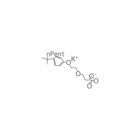 CCCCCC(C)(C)c1ccc(OCCOCCS(=O)(=O)[O-])cc1.[K+]